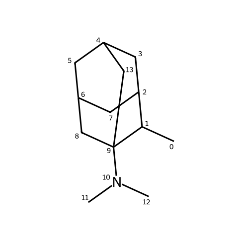 CC1C2CC3CC(C2)CC1(N(C)C)C3